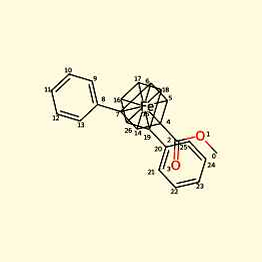 COC(=O)[C]12[CH]3[CH]4[C]5(c6ccccc6)[CH]1[Fe]34251678[CH]2[CH]1[CH]6[C]7(c1ccccc1)[CH]28